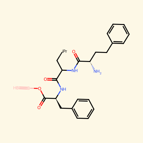 B=BOC(=O)[C@H](Cc1ccccc1)NC(=O)C(CC(C)C)NC(=O)[C@@H](N)CCc1ccccc1